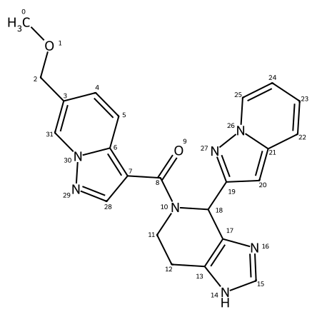 COCc1ccc2c(C(=O)N3CCc4[nH]cnc4C3c3cc4ccccn4n3)cnn2c1